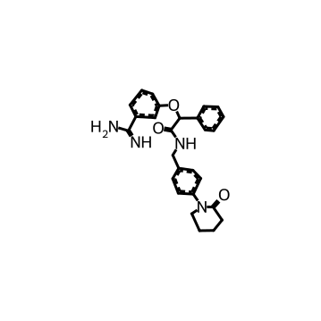 N=C(N)c1cccc(OC(C(=O)NCc2ccc(N3CCCCC3=O)cc2)c2ccccc2)c1